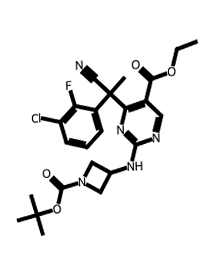 CCOC(=O)c1cnc(NC2CN(C(=O)OC(C)(C)C)C2)nc1C(C)(C#N)c1cccc(Cl)c1F